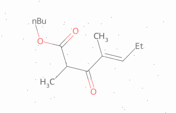 CC/C=C(\C)C(=O)C(C)C(=O)OCCCC